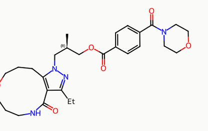 CCc1nn(C[C@@H](C)COC(=O)c2ccc(C(=O)N3CCOCC3)cc2)c2c1C(=O)NCCCOCCC2